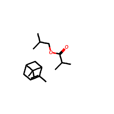 CC(C)COC(=O)C(C)C.CC1=CCC2CC1C2(C)C